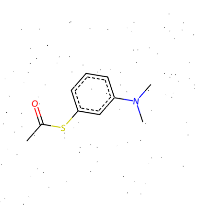 CC(=O)Sc1cccc(N(C)C)c1